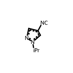 [C-]#[N+]c1cnn(C(C)C)c1